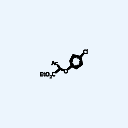 CCOC(=O)C(Oc1ccc(Cl)cc1)C(C)=O